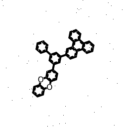 c1ccc(-c2cc(-c3ccc4c(c3)Oc3ccccc3O4)cc(-c3ccc4c5ccccc5c5ccccc5c4c3)c2)cc1